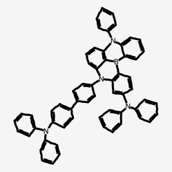 c1ccc(N(c2ccccc2)c2ccc(-c3ccc(N4c5cc(N(c6ccccc6)c6ccccc6)ccc5B5c6ccccc6N(c6ccccc6)c6cccc4c65)cc3)cc2)cc1